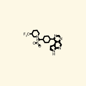 O=[SH](=O)C(C1CCC(c2ncnc3cnc4[nH]ccc4c23)CC1)N1CCCC(C(F)(F)F)C1